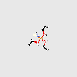 CCOP(=N)(OCC)OCC